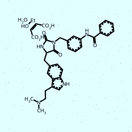 CCO.CN(C)CCc1c[nH]c2ccc(CC3NC(=O)N(Cc4cccc(NC(=O)c5ccccc5)c4)C3=O)cc12.O.O=C(O)/C=C\C(=O)O